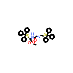 CCOC(=O)[C@H](CSC(c1ccccc1)(c1ccccc1)c1ccccc1)NC(=O)CNCCSC(c1ccccc1)(c1ccccc1)c1ccccc1